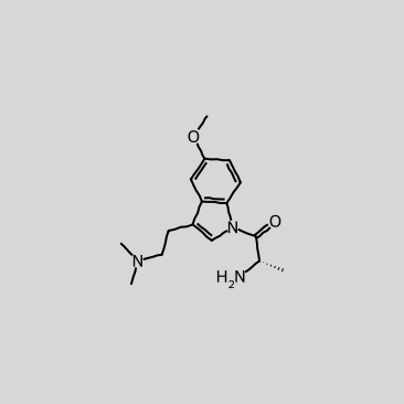 COc1ccc2c(c1)c(CCN(C)C)cn2C(=O)[C@H](C)N